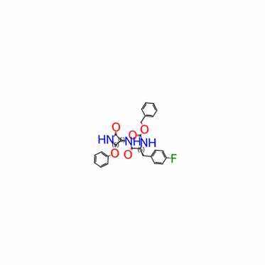 O=C(N[C@@H](Cc1ccc(F)cc1)C(=O)N[C@@H]1C(=O)N[C@H]1Oc1ccccc1)OCc1ccccc1